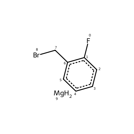 Fc1ccccc1CBr.[MgH2]